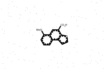 COc1cccc2c1cc(C(=O)O)c1sccc12